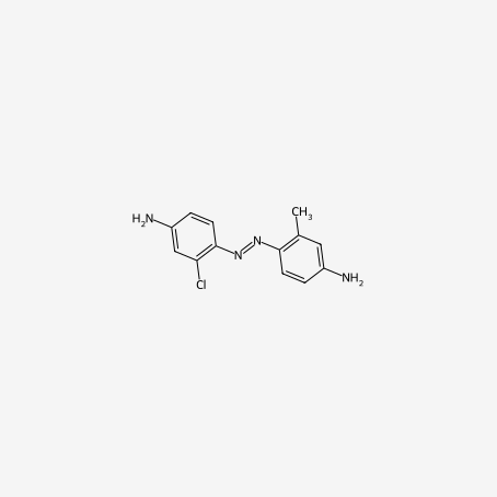 Cc1cc(N)ccc1N=Nc1ccc(N)cc1Cl